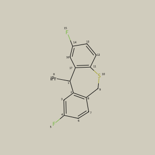 CC(C)C1c2cc(F)ccc2CSc2ccc(F)cc21